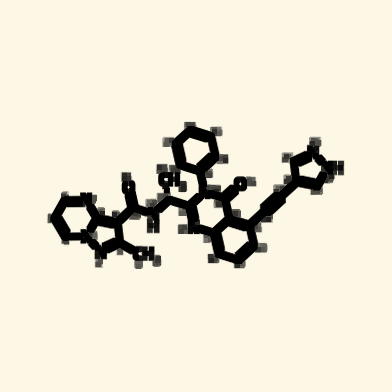 Cc1nn2cccnc2c1C(=O)N[C@H](C)c1nc2cccc(C#Cc3cn[nH]c3)c2c(=O)n1-c1ccccc1